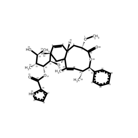 CO[C@H]1C[C@H]2C=C[C@@H]3C[C@]2(O[C@H]3[C@H](OC(=O)c2ccc[nH]2)[C@H](C)[C@H](C)O)/C(C)=C/[C@@H](C)[C@H](c2ccccc2)OC1=O